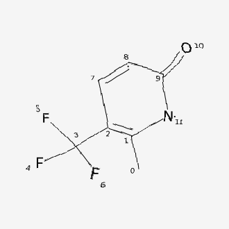 CC1=C(C(F)(F)F)C=[C]C(=O)[N]1